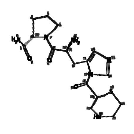 NC(=O)[C@@H]1CCCN1C(=O)[C@@H](N)Cc1cncn1C(=O)C1CNCCS1